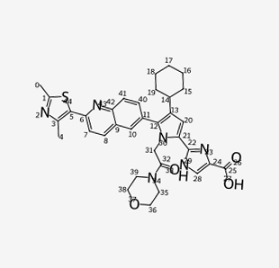 Cc1nc(C)c(-c2ccc3cc(-c4c(C5CCCCC5)cc(-c5nc(C(=O)O)c[nH]5)n4CC(=O)N4CCOCC4)ccc3n2)s1